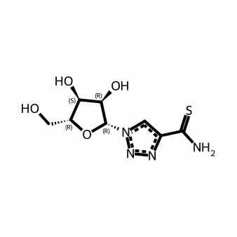 NC(=S)c1cn([C@@H]2O[C@H](CO)[C@@H](O)[C@H]2O)nn1